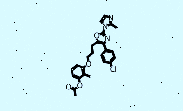 CC(=O)Oc1cccc(OCCCc2oc(-n3ccnc3C)nc2-c2ccc(Cl)cc2)c1C